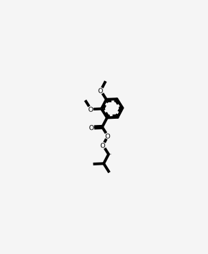 COc1cccc(C(=O)OO[CH]C(C)C)c1OC